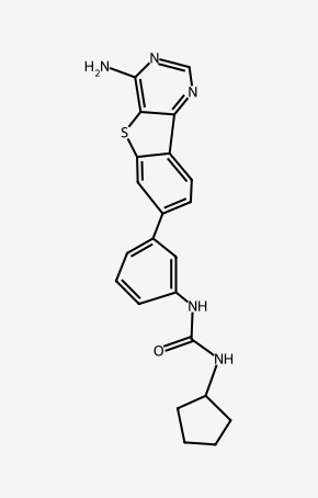 Nc1ncnc2c1sc1cc(-c3cccc(NC(=O)NC4CCCC4)c3)ccc12